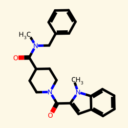 CN(Cc1ccccc1)C(=O)C1CCN(C(=O)c2cc3ccccc3n2C)CC1